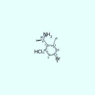 Cc1cc(Br)ccc1[C@@H](C)N.Cl